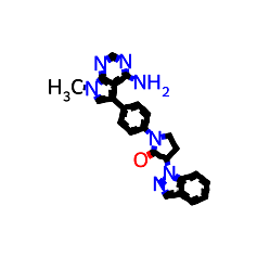 Cn1cc(-c2ccc(N3CCC(n4ncc5ccccc54)C3=O)cc2)c2c(N)ncnc21